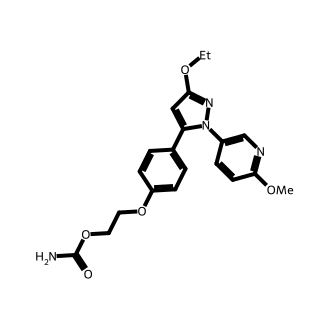 CCOc1cc(-c2ccc(OCCOC(N)=O)cc2)n(-c2ccc(OC)nc2)n1